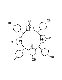 CC1CCC(C2C3CC(O)CC(N3)C(C3CCC(O)CC3)C3CC(O)CC(N3)C(C3CCC(O)CC3)C3CC(O)CC(N3)C(C3CCC(O)CC3)C3CC(O)CC2N3)CC1